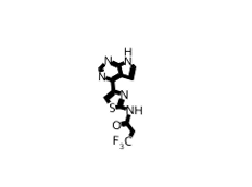 O=C(CC(F)(F)F)Nc1nc(-c2ncnc3[nH]ccc23)cs1